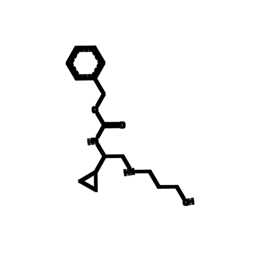 O=C(NC(CNCCCO)C1CC1)OCc1ccccc1